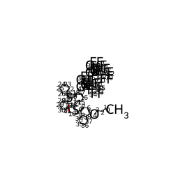 CCCCOc1ccc([S+]2CCCC2c2ccccc2[S+](c2ccccc2)c2ccccc2)c2ccccc12.O=S(=O)([O-])C(F)(F)C(F)(F)C(F)(F)C(F)(F)F.O=S(=O)([O-])C(F)(F)C(F)(F)C(F)(F)C(F)(F)F